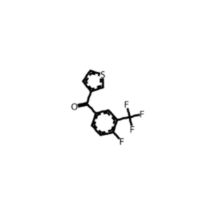 O=C(c1ccsc1)c1ccc(F)c(C(F)(F)F)c1